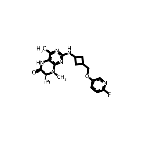 Cc1nc(NC2CC(COc3ccc(F)nc3)C2)nc2c1NC(=O)[C@H](C(C)C)N2C